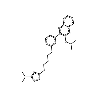 CC(C)Oc1nc2ccccc2nc1-c1cccc(CCCCCc2csc(C(C)C)n2)c1